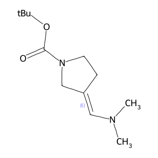 CN(C)/C=C1\CCN(C(=O)OC(C)(C)C)C1